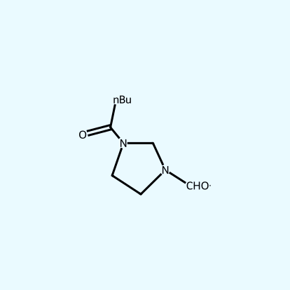 CCCCC(=O)N1CCN([C]=O)C1